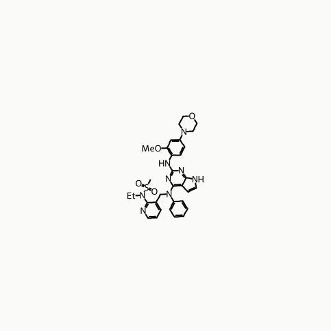 CCN(c1ncccc1CN(c1ccccc1)c1nc(Nc2ccc(N3CCOCC3)cc2OC)nc2[nH]ccc12)S(C)(=O)=O